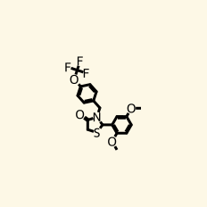 COc1ccc(OC)c(C2SCC(=O)N2Cc2ccc(OC(F)(F)F)cc2)c1